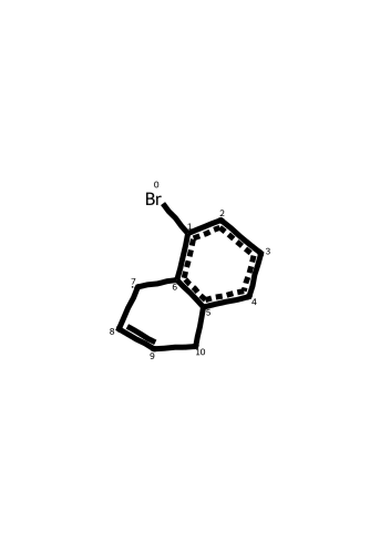 Brc1cccc2c1[CH]C=CC2